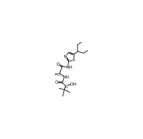 CCC(CC)c1cnc(NC(=O)[C@H](C)NC(=O)[C@@H](O)C(C)(C)C)s1